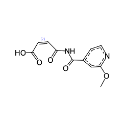 COc1cc(C(=O)NC(=O)/C=C\C(=O)O)ccn1